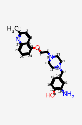 Cc1ccc2c(OCCN3CCN(Cc4ccc(O)c(N)c4)CC3)cccc2n1